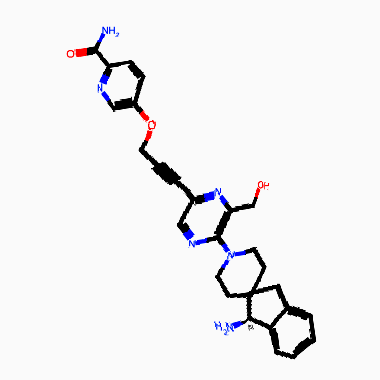 NC(=O)c1ccc(OCC#Cc2cnc(N3CCC4(CC3)Cc3ccccc3[C@H]4N)c(CO)n2)cn1